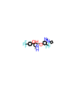 C[C@H]1C[C@@](O)(c2ccc(C(F)(F)F)cc2)C[C@@H](COc2cc(C(F)(F)F)c3c(c2)ncn3C2CCC2)N1